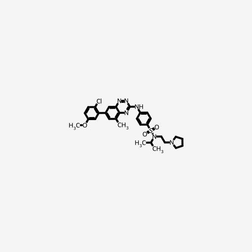 COc1ccc(Cl)c(-c2cc(C)c3nc(Nc4ccc(S(=O)(=O)N(CCN5CCCC5)C(C)C)cc4)nnc3c2)c1